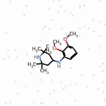 COc1cccc(NC2CC(C)(C)NC(C)(C)C2)c1OC